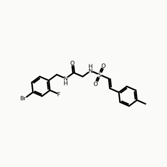 Cc1ccc(C=CS(=O)(=O)NCC(=O)NCc2ccc(Br)cc2F)cc1